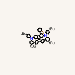 CC(C)(C)c1ccc(N(c2ccc(C(C)(C)C)cc2)c2ccc3c(c2)C2(C4=C3c3c(sc5ccccc35)C(N(c3ccc(C(C)(C)C)cc3)c3ccc(C(C)(C)C)cc3)C4)c3ccccc3-c3ccccc32)cc1